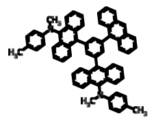 Cc1ccc(N(C)c2c3ccccc3c(-c3cc(-c4c5ccccc5cc5ccccc45)cc(-c4c5ccccc5c(N(C)c5ccc(C)cc5)c5ccccc45)c3)c3ccccc23)cc1